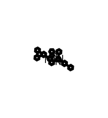 c1ccc(-c2ccc(-c3nc(-c4ccccc4)nc(-c4cccc5nc(-c6ccc7c8ccccc8c8ccccc8c7c6)c6c7ccccc7oc6c45)n3)cc2)cc1